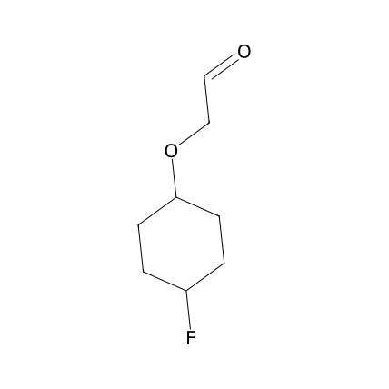 O=CCOC1CCC(F)CC1